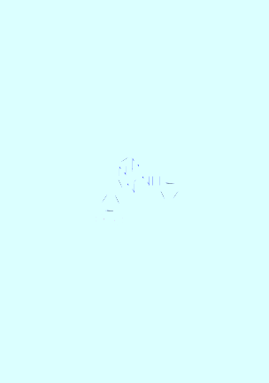 COc1ccc(-c2cn3ccnc3c(NCc3ccccc3)n2)cc1OC